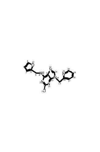 Clc1nc(NCc2ccco2)c2ncn(Cc3ccccn3)c2n1